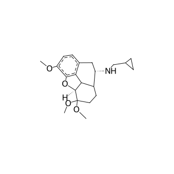 COc1ccc2c3c1O[C@H]1C3C(CCC1(OC)OC)[C@@H](NCC1CC1)C2